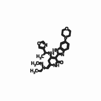 C=NN(/C=C1\CC(NC(C)c2cocn2)=C(c2nc3ccc(N4CCOCC4)cc3[nH]2)C(=O)N1)CC